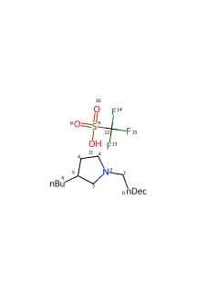 CCCCCCCCCCCN1CCC(CCCC)C1.O=S(=O)(O)C(F)(F)F